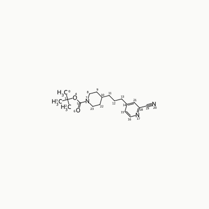 CC(C)(C)OC(=O)N1CCC(CCCc2ccnc(C#N)c2)CC1